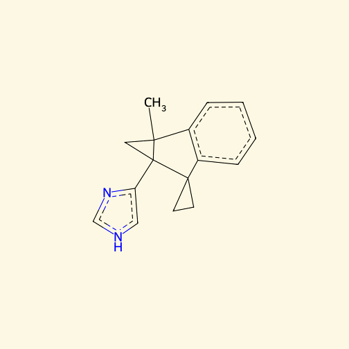 CC12CC1(c1c[nH]cn1)C1(CC1)c1ccccc12